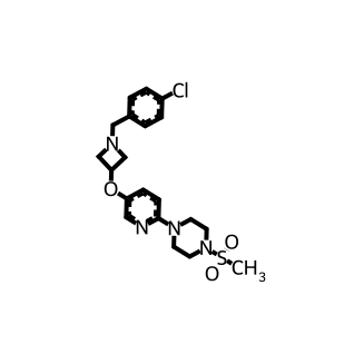 CS(=O)(=O)N1CCN(c2ccc(OC3CN(Cc4ccc(Cl)cc4)C3)cn2)CC1